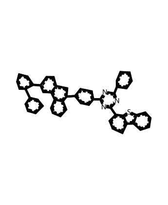 c1ccc(-c2nc(-c3ccc(-c4cc5ccc(-c6ccccc6-c6ccccc6)cc5c5ccccc45)cc3)nc(-c3cccc4c3sc3ccccc34)n2)cc1